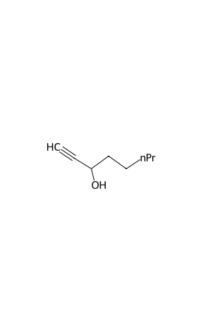 C#CC(O)CCCC[CH2]